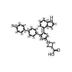 O=C(O)C1CN(c2nc(-c3ccc(-c4ccc(F)cc4)cc3)c(-c3cccc4[nH]ccc34)s2)C1